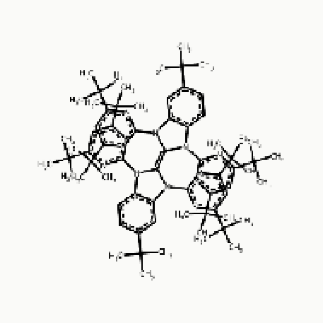 CC(C)(C)c1ccc2c(c1)N(c1nc(C(C)(C)C)cc(C(C)(C)C)n1)/C(=C1\N(c3nc(C(C)(C)C)cc(C(C)(C)C)n3)c3ccc(C(C)(C)C)cc3N1c1nc(C(C)(C)C)cc(C(C)(C)C)n1)N2c1nc(C(C)(C)C)cc(C(C)(C)C)n1